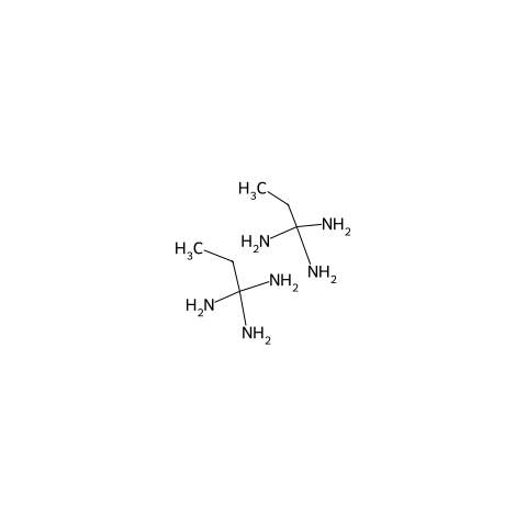 CCC(N)(N)N.CCC(N)(N)N